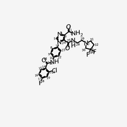 NC(=O)c1ncn(-c2ccc(NC(=O)c3ccc(F)cc3Cl)cc2)c1C(=O)NCCN1CCC(F)(F)C1